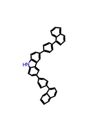 c1ccc2c(-c3ccc(-c4ccc5[nH]c6ccc(-c7ccc(-c8cccc9ccccc89)cc7)cc6c5c4)cc3)cccc2c1